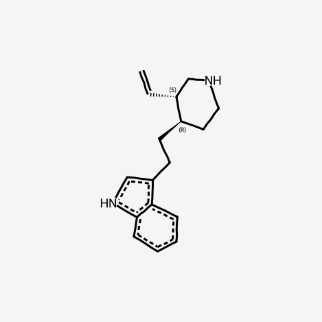 C=C[C@@H]1CNCC[C@H]1CCc1c[nH]c2ccccc12